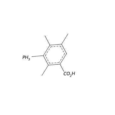 Cc1cc(C(=O)O)c(C)c(C)c1C.P